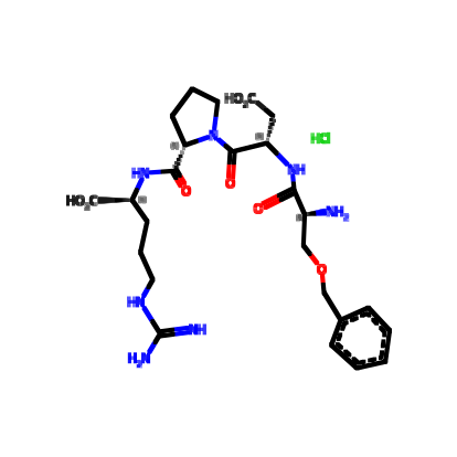 Cl.N=C(N)NCCC[C@H](NC(=O)[C@@H]1CCCN1C(=O)[C@H](CC(=O)O)NC(=O)[C@@H](N)COCc1ccccc1)C(=O)O